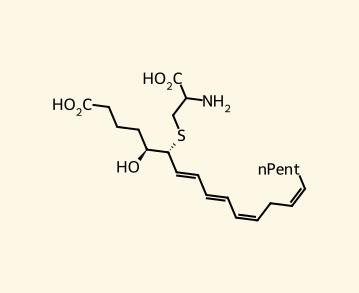 CCCCC/C=C\C\C=C/C=C/C=C/[C@@H](SCC(N)C(=O)O)[C@@H](O)CCCC(=O)O